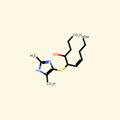 CCCCCCCCCCCC/C=C\C(Sc1nc(C)[nH]c1C(=O)O)C(O)CCC(=O)O